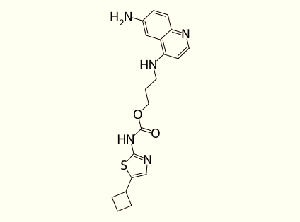 Nc1ccc2nccc(NCCCOC(=O)Nc3ncc(C4CCC4)s3)c2c1